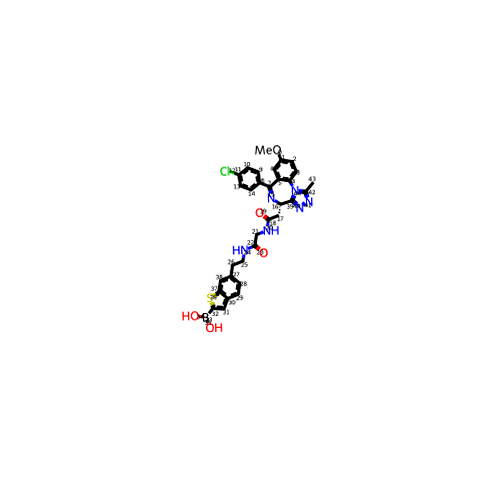 COc1ccc2c(c1)C(c1ccc(Cl)cc1)=N[C@@H](CC(=O)NCC(=O)NCCc1ccc3cc(B(O)O)sc3c1)c1nnc(C)n1-2